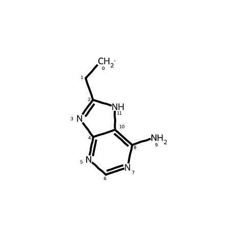 [CH2]Cc1nc2ncnc(N)c2[nH]1